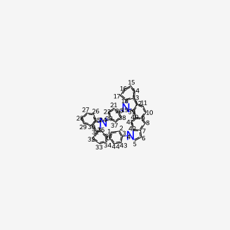 c1ccc(-n2ccc3cc4ccc5c6ccccc6n(-c6ccc(-n7c8ccccc8c8ccccc87)cc6)c5c4cc32)cc1